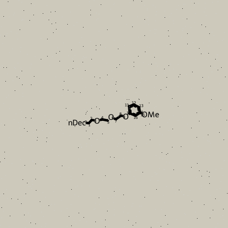 CCCCCCCCCCCCOCCOCCOc1cccc(OC)c1